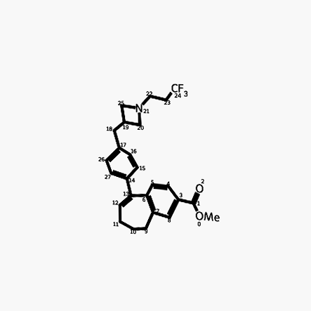 COC(=O)c1ccc2c(c1)CCCC=C2c1ccc(CC2CN(CCC(F)(F)F)C2)cc1